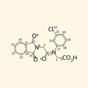 O=C(O)CN(C(=O)CN1C(=O)c2ccccc2C1=O)c1cccc(Cl)c1